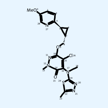 COc1ccc([C@H]2C[C@@H]2COc2nn(C)c(=O)c(N(C)c3nnc(C)s3)c2Cl)nc1